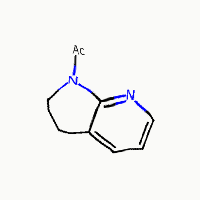 CC(=O)N1CCc2cccnc21